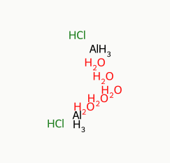 Cl.Cl.O.O.O.O.O.[AlH3].[AlH3]